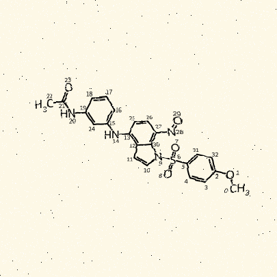 COc1ccc(S(=O)(=O)n2ccc3c(Nc4cccc(NC(C)=O)c4)ccc(N=O)c32)cc1